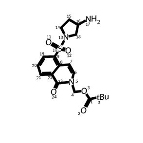 CC(C)(C)C(=O)OCn1ccc2c(S(=O)(=O)N3CCC(N)C3)cccc2c1=O